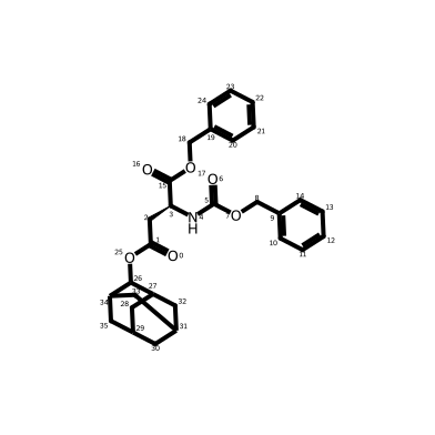 O=C(C[C@H](NC(=O)OCc1ccccc1)C(=O)OCc1ccccc1)OC1C2CC3CC(C2)CC1C3